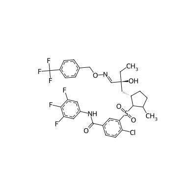 CC[C@@](O)(/C=N/OCc1ccc(C(F)(F)F)cc1)C[C@@H]1CCC(C)C1S(=O)(=O)c1cc(C(=O)Nc2cc(F)c(F)c(F)c2)ccc1Cl